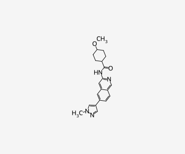 COC1CCC(C(=O)Nc2cc3cc(-c4cnn(C)c4)ccc3cn2)CC1